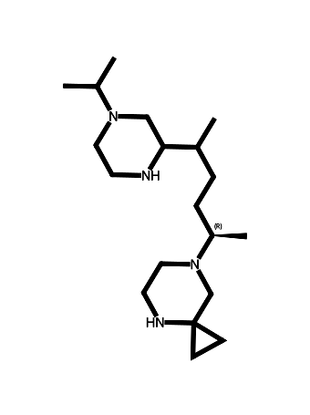 CC(CC[C@@H](C)N1CCNC2(CC2)C1)C1CN(C(C)C)CCN1